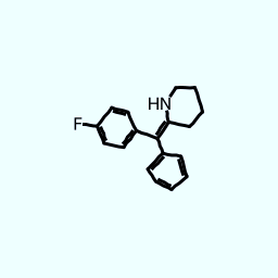 Fc1ccc(C(=C2CCCCN2)c2ccccc2)cc1